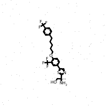 C[C@](N)(CO)c1ncc(-c2ccc(OCCCCCc3ccc(C(F)(F)F)cc3)c(C(F)(F)F)c2)s1